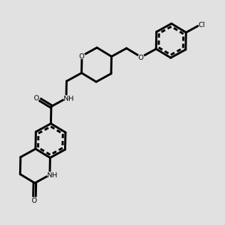 O=C1CCc2cc(C(=O)NCC3CCC(COc4ccc(Cl)cc4)CO3)ccc2N1